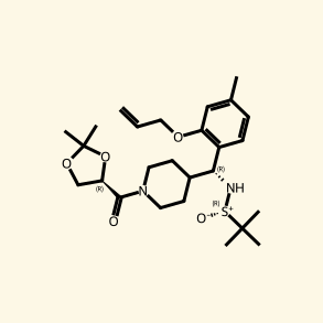 C=CCOc1cc(C)ccc1[C@H](N[S@@+]([O-])C(C)(C)C)C1CCN(C(=O)[C@H]2COC(C)(C)O2)CC1